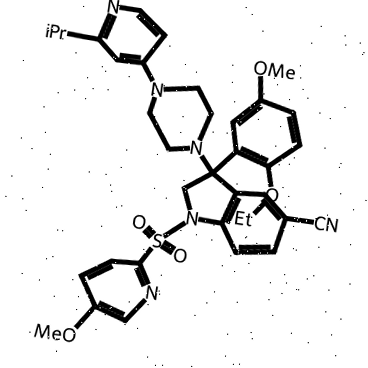 CCOc1ccc(OC)cc1C1(N2CCN(c3ccnc(C(C)C)c3)CC2)CN(S(=O)(=O)c2ccc(OC)cn2)c2ccc(C#N)cc21